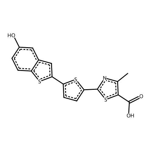 Cc1nc(-c2ccc(-c3cc4cc(O)ccc4s3)s2)sc1C(=O)O